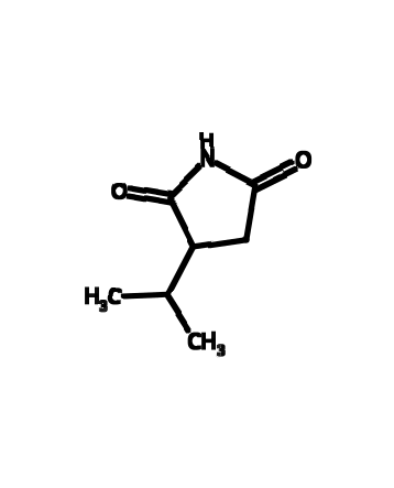 CC(C)C1CC(=O)NC1=O